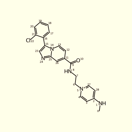 CNc1cc[n+](CCNC(=O)c2ccn3c(-c4ccccc4Cl)cnc3c2)cc1